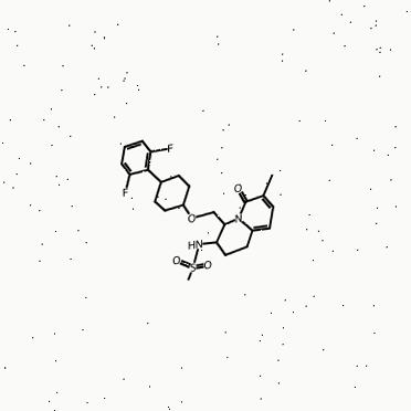 Cc1ccc2n(c1=O)C(COC1CCC(c3c(F)cccc3F)CC1)C(NS(C)(=O)=O)CC2